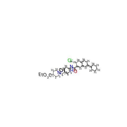 CCOC(=O)C1CC[N+](C)(Cc2ccc(NC(=O)C3=Cc4cc(-c5ccccc5)ccc4CC3)cc2)CC1.[Cl-]